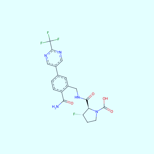 NC(=O)c1ccc(-c2cnc(C(F)(F)F)nc2)cc1CNC(=O)[C@@H]1[C@@H](F)CCN1C(=O)O